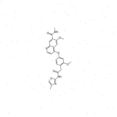 CNC(=O)c1cc2nccc(Oc3ccc(CC(=O)Nc4nc(C)cs4)c(OC)c3)c2cc1OC